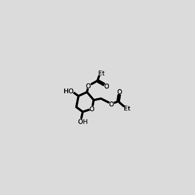 CCC(=O)OCC1OC(O)CC(O)C1OC(=O)CC